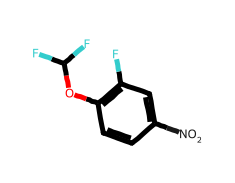 O=[N+]([O-])c1ccc(OC(F)F)c(F)c1